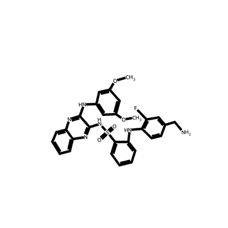 COc1cc(Nc2nc3ccccc3nc2NS(=O)(=O)c2ccccc2Nc2ccc(CN)cc2F)cc(OC)c1